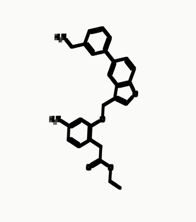 CCOC(=O)Cc1ccc(N)cc1OCc1coc2ccc(-c3cccc(CN)c3)cc12